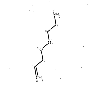 C=CCOOCCN